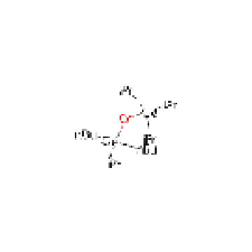 CCC[CH2][Ge]([CH2]CCC)([O][Ge]([CH](C)C)([CH](C)C)[CH](C)C)[CH](C)C